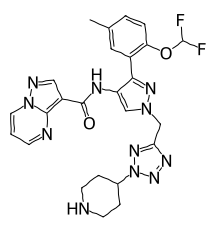 Cc1ccc(OC(F)F)c(-c2nn(Cc3nnn(C4CCNCC4)n3)cc2NC(=O)c2cnn3cccnc23)c1